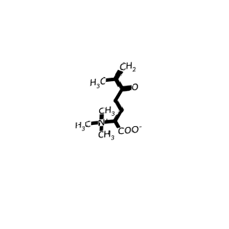 C=C(C)C(=O)CCC(C(=O)[O-])[N+](C)(C)C